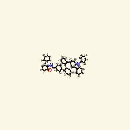 c1ccc(-c2cccc3oc(-c4ccc(-c5ccccc5-c5ccccc5-c5ccc6c(c5)c5ccccc5n6-c5ccccc5)cc4)nc23)cc1